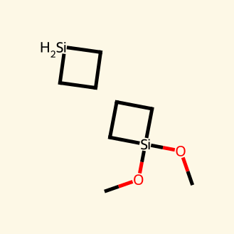 C1C[SiH2]C1.CO[Si]1(OC)CCC1